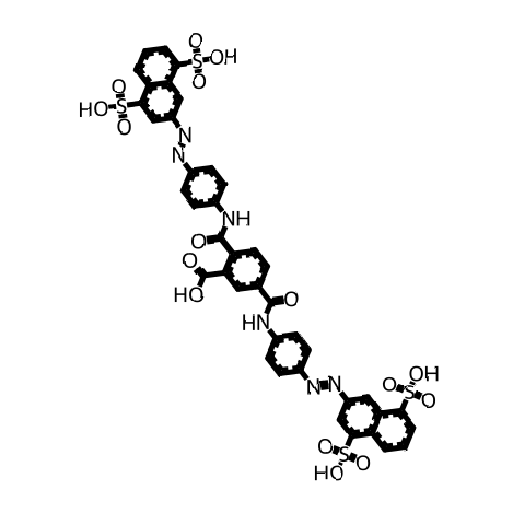 O=C(Nc1ccc(/N=N/c2cc(S(=O)(=O)O)c3cccc(S(=O)(=O)O)c3c2)cc1)c1ccc(C(=O)Nc2ccc(/N=N/c3cc(S(=O)(=O)O)c4cccc(S(=O)(=O)O)c4c3)cc2)c(C(=O)O)c1